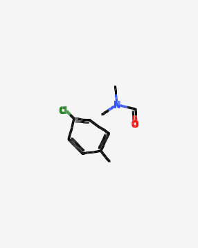 CN(C)C=O.Cc1ccc(Cl)cc1